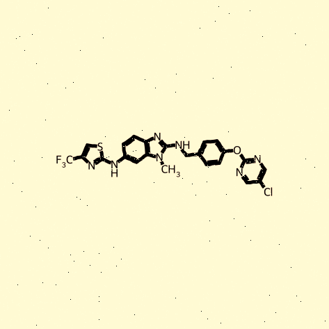 Cn1c(NCc2ccc(Oc3ncc(Cl)cn3)cc2)nc2ccc(Nc3nc(C(F)(F)F)cs3)cc21